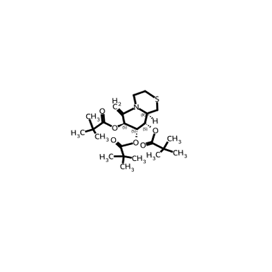 C=C1[C@H](OC(=O)C(C)(C)C)[C@@H](OC(=O)C(C)(C)C)[C@@H](OC(=O)C(C)(C)C)[C@@H]2CSCCN12